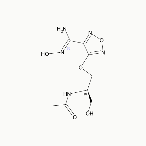 CC(=O)N[C@H](CO)COc1nonc1/C(N)=N/O